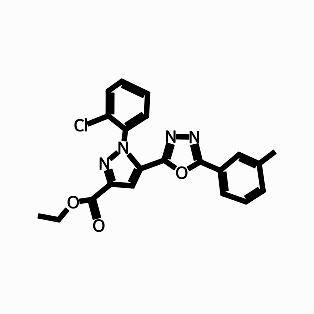 CCOC(=O)c1cc(-c2nnc(-c3cccc(C)c3)o2)n(-c2ccccc2Cl)n1